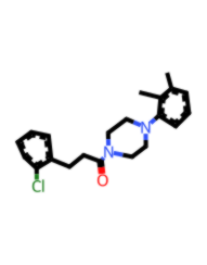 Cc1cccc(N2CCN(C(=O)CCc3ccccc3Cl)CC2)c1C